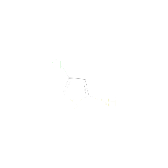 Sc1cc(Cl)cs1